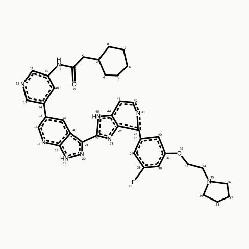 O=C(CC1CCCCC1)Nc1cncc(-c2cnc3[nH]nc(-c4nc5c(-c6cc(F)cc(OCCN7CCCC7)c6)nccc5[nH]4)c3c2)c1